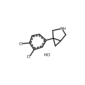 Cl.Clc1ccc(C23CNCC2C3)cc1Cl